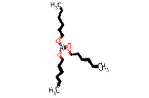 CCCCCC[O][Al]([O]CCCCCC)[O]CCCCCC